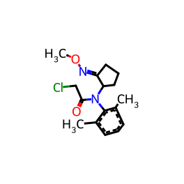 CON=C1CCCC1N(C(=O)CCl)c1c(C)cccc1C